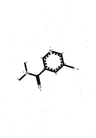 CN(C)C(=O)c1cncc(I)c1